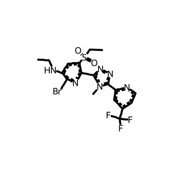 CCNc1cc(S(=O)(=O)CC)c(-c2nnc(-c3cc(C(F)(F)F)ccn3)n2C)nc1Br